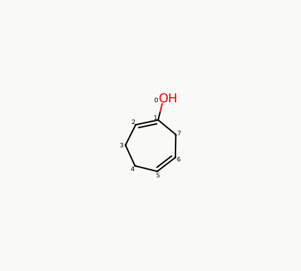 OC1=CCCC=CC1